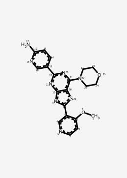 COc1ccncc1-c1nc2nc(-c3ccc(N)nc3)nc(N3CCOCC3)c2s1